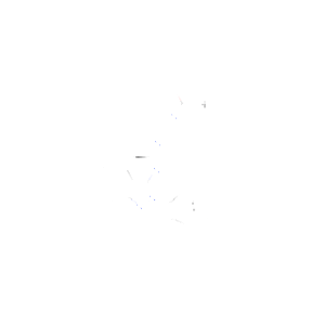 [2H]c1cc(N2CCN(C(=O)OCC(C)C)CC2)nc2c1c(C(CC)CC)nn2-c1ccc(F)cc1